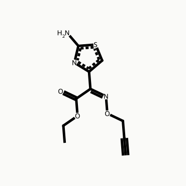 C#CCON=C(C(=O)OCC)c1csc(N)n1